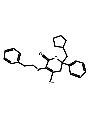 O=C1OC(CC2CCCC2)(c2ccccc2)CC(O)=C1SCCc1ccccc1